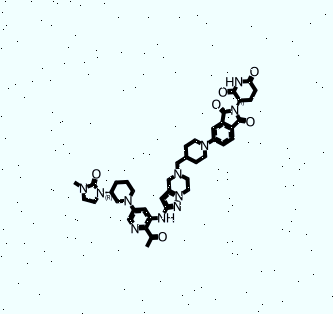 CC(=O)c1ncc(N2CCC[C@@H](N3CCN(C)C3=O)C2)cc1Nc1cc2n(n1)CCN(CC1CCN(c3ccc4c(c3)C(=O)N([C@@H]3CCC(=O)NC3=O)C4=O)CC1)C2